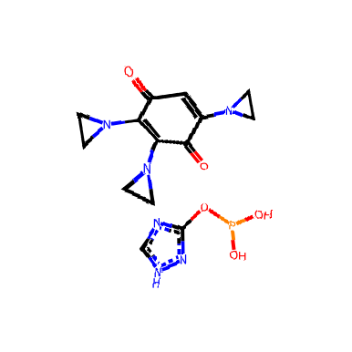 O=C1C=C(N2CC2)C(=O)C(N2CC2)=C1N1CC1.OP(O)Oc1nc[nH]n1